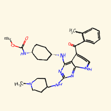 Cc1ccccc1C(=O)c1c[nH]c2nc(NC3CCN(C)CC3)nc(N[C@H]3CC[C@@H](NC(=O)OC(C)(C)C)CC3)c12